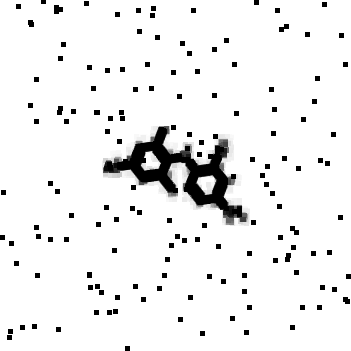 CC(=O)c1cc(C)c(Oc2ccc(N)cc2Br)c(C)c1